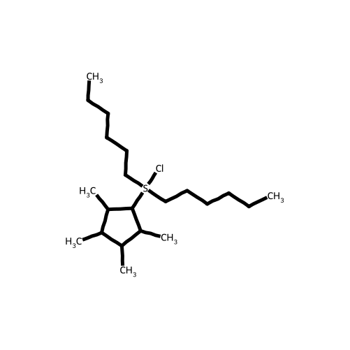 CCCCCCS(Cl)(CCCCCC)C1C(C)C(C)C(C)C1C